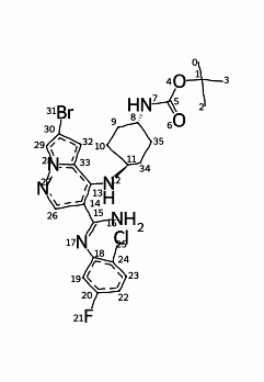 CC(C)(C)OC(=O)N[C@H]1CC[C@H](Nc2c(/C(N)=N/c3cc(F)ccc3Cl)cnn3cc(Br)cc23)CC1